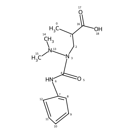 CC(CN(C(=O)Nc1ccccc1)N(C)C)C(=O)O